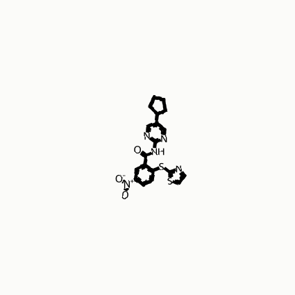 O=C(Nc1ncc(C2CCCC2)cn1)c1cc([N+](=O)[O-])ccc1Sc1nccs1